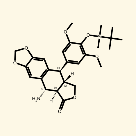 COc1cc([C@@H]2c3cc4c(cc3[C@@H](N)[C@@H]3C(=O)OC[C@@H]23)OCO4)cc(OC)c1O[Si](C)(C)C(C)(C)C